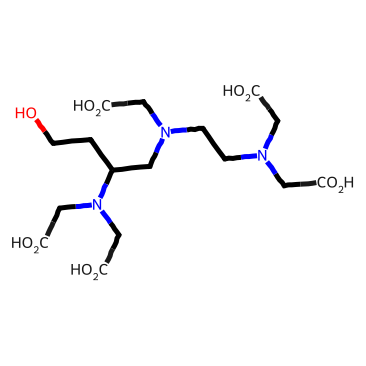 O=C(O)CN(CCN(CC(=O)O)CC(CCO)N(CC(=O)O)CC(=O)O)CC(=O)O